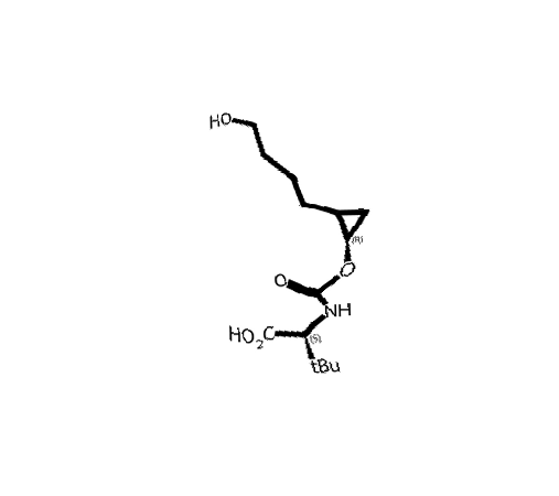 CC(C)(C)[C@H](NC(=O)O[C@@H]1CC1CCCCO)C(=O)O